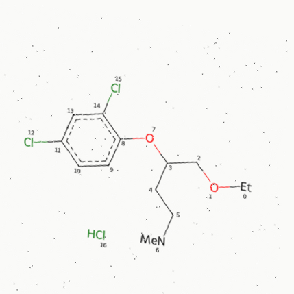 CCOCC(CCNC)Oc1ccc(Cl)cc1Cl.Cl